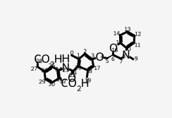 Cc1cc(OC[C@@H]2CN(C)c3ccccc3O2)cc(C)c1C(=O)Nc1cc(CC(=O)O)ccc1C(=O)O